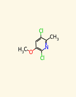 COc1cc(Cl)c(C)nc1Cl